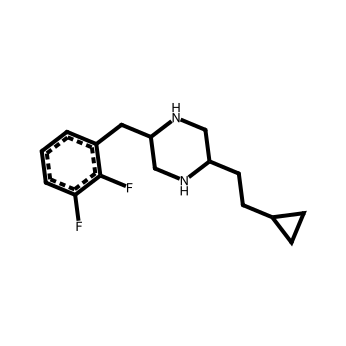 Fc1cccc(CC2CNC(CCC3CC3)CN2)c1F